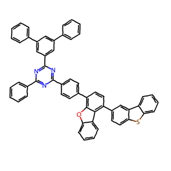 c1ccc(-c2cc(-c3ccccc3)cc(-c3nc(-c4ccccc4)nc(-c4ccc(-c5ccc(-c6ccc7sc8ccccc8c7c6)c6c5oc5ccccc56)cc4)n3)c2)cc1